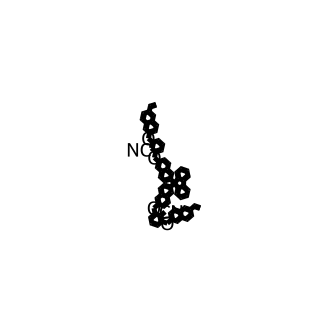 C=Cc1ccc2cc(Oc3cccc(Oc4ccc5cc(C6(c7ccc8cc(Oc9cccc(Oc%10ccc%11cc(C=C)ccc%11c%10)c9C#N)ccc8c7)c7ccccc7-c7ccccc76)ccc5c4)c3C#N)ccc2c1